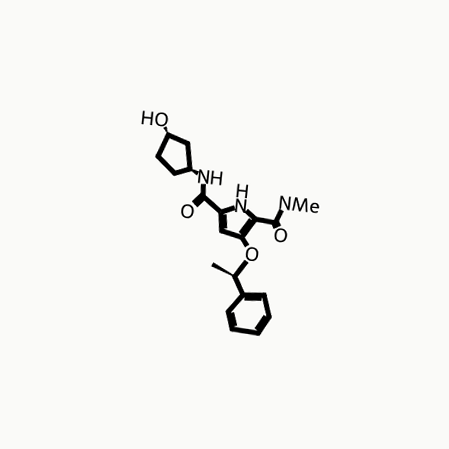 CNC(=O)c1[nH]c(C(=O)N[C@H]2CC[C@H](O)C2)cc1O[C@H](C)c1ccccc1